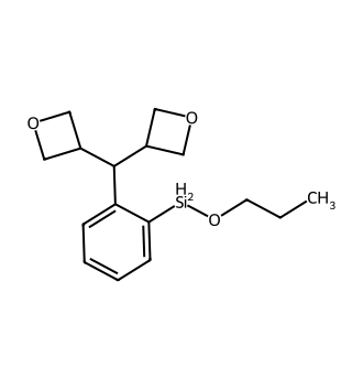 CCCO[SiH2]c1ccccc1C(C1COC1)C1COC1